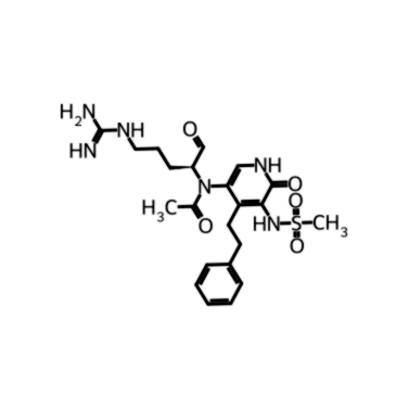 CC(=O)N(c1c[nH]c(=O)c(NS(C)(=O)=O)c1CCc1ccccc1)[C@H](C=O)CCCNC(=N)N